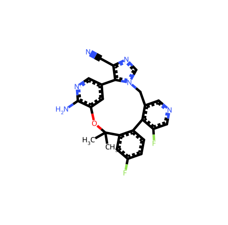 CC1(C)Oc2cc(cnc2N)-c2c(C#N)ncn2Cc2cncc(F)c2-c2ccc(F)cc21